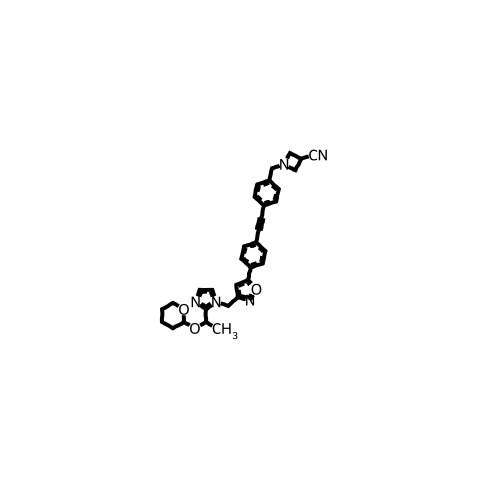 CC(OC1CCCCO1)c1nccn1Cc1cc(-c2ccc(C#Cc3ccc(CN4CC(C#N)C4)cc3)cc2)on1